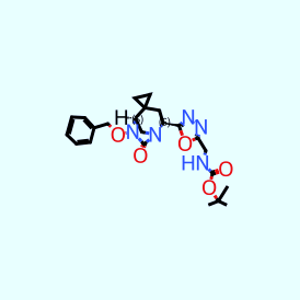 CC(C)(C)OC(=O)NCc1nnc([C@@H]2CC3(CC3)[C@H]3CN2C(=O)N3OCc2ccccc2)o1